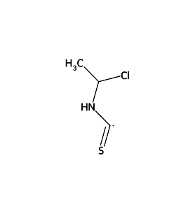 CC(Cl)N[C]=S